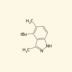 Cc1ccc2[nH]nc(C)c2c1C(C)(C)C